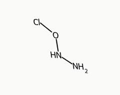 NNOCl